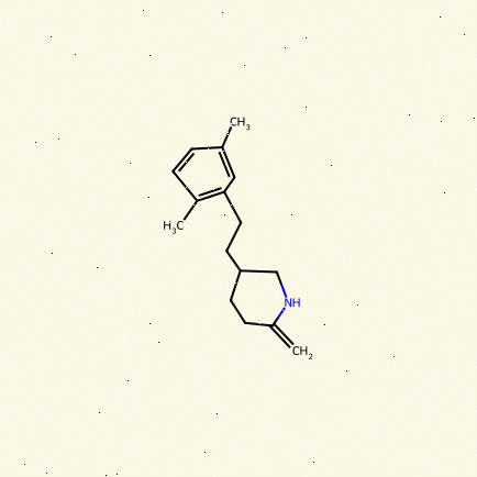 C=C1CCC(CCc2cc(C)ccc2C)CN1